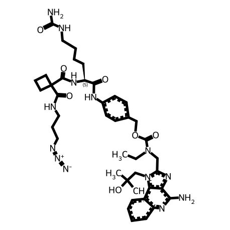 CCN(Cc1nc2c(N)nc3ccccc3c2n1CC(C)(C)O)C(=O)OCc1ccc(NC(=O)[C@H](CCCCNC(N)=O)NC(=O)C2(C(=O)NCCCN=[N+]=[N-])CCC2)cc1